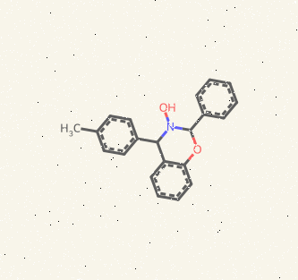 Cc1ccc(C2c3ccccc3OC(c3ccccc3)N2O)cc1